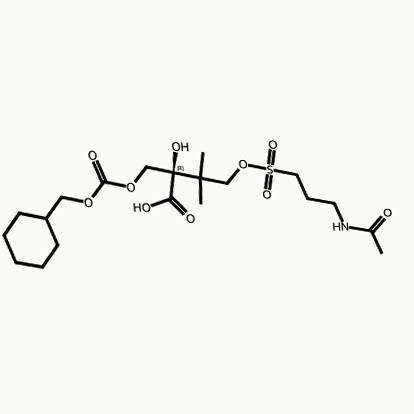 CC(=O)NCCCS(=O)(=O)OCC(C)(C)[C@@](O)(COC(=O)OCC1CCCCC1)C(=O)O